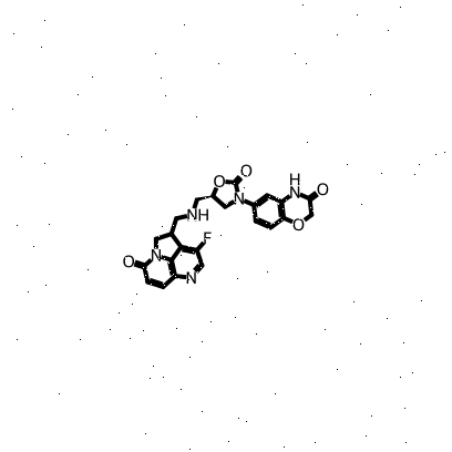 O=C1COc2ccc(N3C[C@@H](CNCC4Cn5c(=O)ccc6ncc(F)c4c65)OC3=O)cc2N1